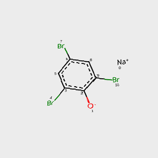 [Na+].[O-]c1c(Br)cc(Br)cc1Br